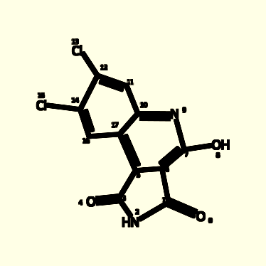 O=C1NC(=O)c2c1c(O)nc1cc(Cl)c(Cl)cc21